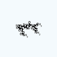 CON=C(C(=O)NC1C(=O)N2C=C(C=C(S)c3n[nH]c(=O)c(=O)n3CCOC(C)=O)CSC12)c1csc(N)n1